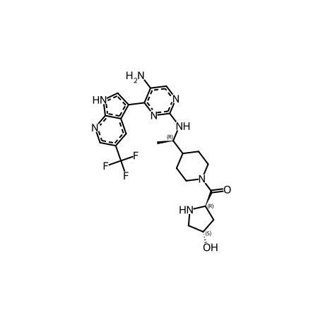 C[C@@H](Nc1ncc(N)c(-c2c[nH]c3ncc(C(F)(F)F)cc23)n1)C1CCN(C(=O)[C@H]2C[C@H](O)CN2)CC1